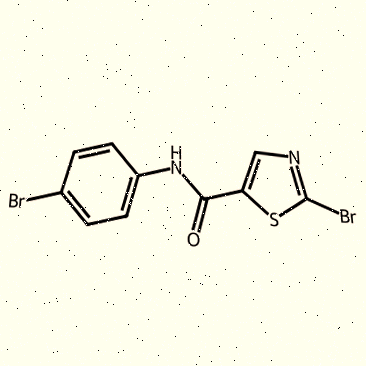 O=C(Nc1ccc(Br)cc1)c1cnc(Br)s1